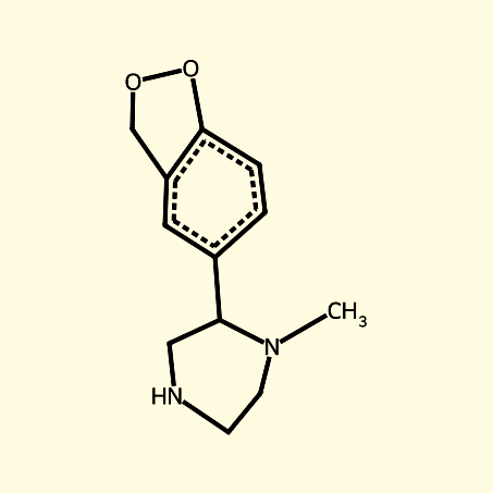 CN1CCNCC1c1ccc2c(c1)COO2